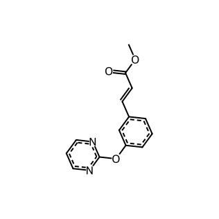 COC(=O)C=Cc1cccc(Oc2ncccn2)c1